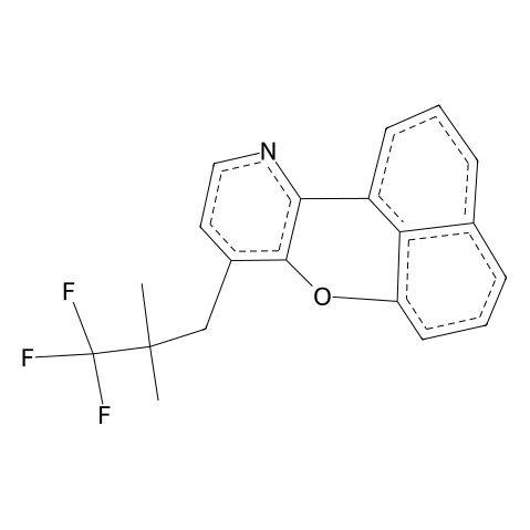 CC(C)(Cc1ccnc2c1Oc1cccc3cccc-2c13)C(F)(F)F